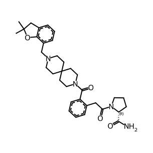 CC1(C)Cc2cccc(CN3CCC4(CC3)CCN(C(=O)c3ccccc3CC(=O)N3CCC[C@@H]3C(N)=O)CC4)c2O1